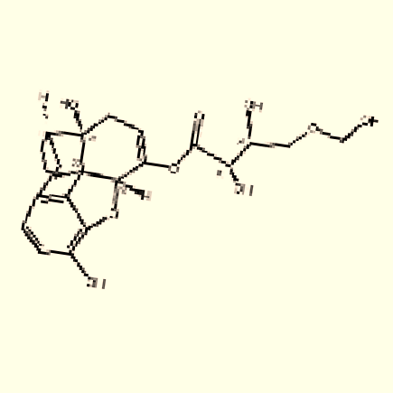 O=C(OC1=CC[C@@]2(O)[C@@H]3CCC[C@@]24c2c(ccc(O)c2O[C@@H]14)C3)[C@H](O)[C@@H](O)COCO